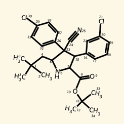 CC(C)(C)CC1NC(C(=O)OC(C)(C)C)C(c2cccc(Cl)c2)C1(C#N)c1ccc(Cl)cc1